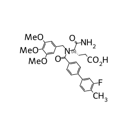 COc1cc(CN(C(=O)c2ccc(-c3ccc(C)c(F)c3)cc2)[C@@H](CCC(=O)O)C(N)=O)cc(OC)c1OC